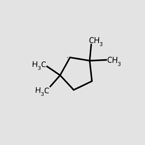 CC1(C)[CH]C(C)(C)CC1